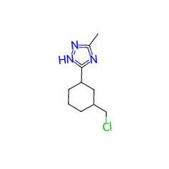 Cc1n[nH]c(C2CCCC(CCl)C2)n1